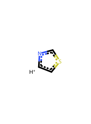 [H+].c1cscn1